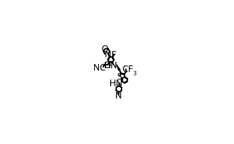 CN(C)C1CCC(Nc2cccc3c(CC(F)(F)F)c(C#CCNc4cc(F)c(N5CCOCC5)cc4OCC#N)sc23)CC1